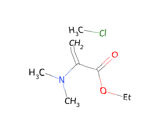 C=C(C(=O)OCC)N(C)C.CCl